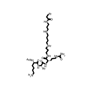 CC(=O)N[C@@H](CCCCN)C(=O)N[C@H](C(=O)N[C@@H](CCCNC(N)=O)C(=O)NCCCNCCCCNCCCNC(=O)CC(C)C)C(C)C